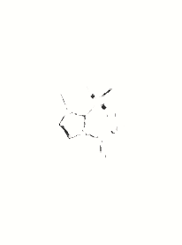 CN1C=CN([N+](=O)[O-])C1S(C)(=O)=O